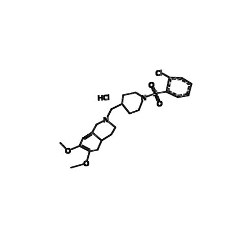 COC1=C(OC)CC2CCN(CC3CCN(S(=O)(=O)c4ccccc4Cl)CC3)CC2=C1.Cl